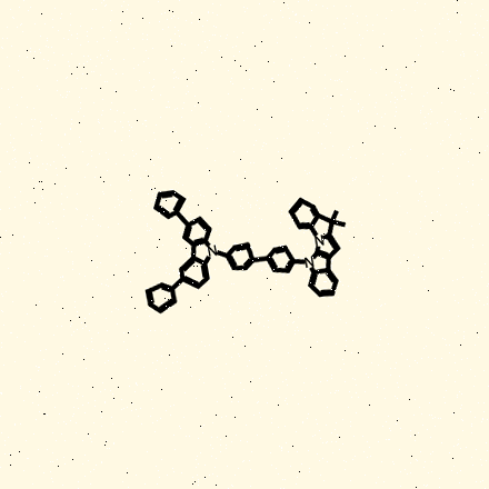 CC1(C)c2ccccc2-n2c1cc1c3ccccc3n(-c3ccc(-c4ccc(-n5c6ccc(-c7ccccc7)cc6c6cc(-c7ccccc7)ccc65)cc4)cc3)c12